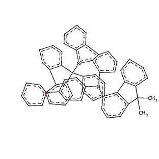 CC1(C)c2ccccc2-c2c(N(c3ccc(-c4ccccc4)cc3)c3cccc4c5ccccc5n(C5(c6ccccc6)c6ccccc6-c6ccccc65)c34)cccc21